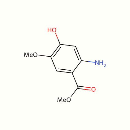 COC(=O)c1cc(OC)c(O)cc1N